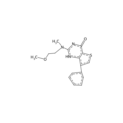 COCCN(C)c1nc(=O)c2scc(-c3ccccc3)c2[nH]1